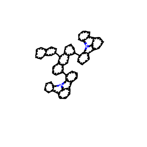 c1ccc2cc(-c3c4cccc(-c5cccc6c7cccc8c9ccccc9n(c56)c87)c4cc4c(-c5cccc6c7cccc8c9ccccc9n(c56)c87)cccc34)ccc2c1